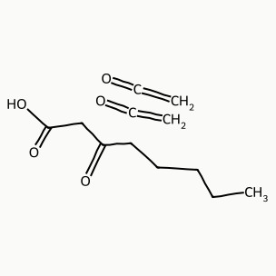 C=C=O.C=C=O.CCCCCC(=O)CC(=O)O